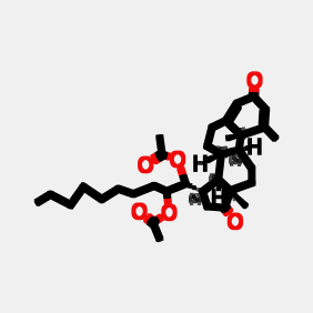 CCCCCCCCC(OC(C)=O)C(OC(C)=O)[C@H]1CC(=O)[C@@]2(C)CC[C@H]3[C@@H](CCC4=CC(=O)C=C(C)[C@@]43C)[C@H]12